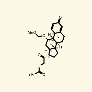 CCCC(=O)OCC(=O)[C@H]1CC[C@H]2[C@@H]3CCC4=CC(=O)C=C[C@]4(C)[C@H]3[C@@H](OCOC)C[C@]12C